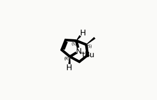 C[C@H]1CC[C@@H]2C=C[C@H]1N2C(C)(C)C